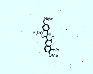 CCCc1c(OC)ccc2cc(C(=O)Nc3ccc(CNC)cc3OC(F)(F)F)c(=O)oc12